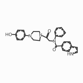 O=C(CN(C(=O)c1ccc2cc[nH]c2c1)c1ccccc1)N1CCN(c2ccc(O)cc2)CC1